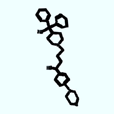 OC(CCCN1CCC(C(O)(c2ccccc2)c2ccccc2)CC1)c1ccc(N2CCOCC2)cc1